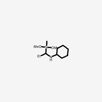 CCC(NC1CCCCC1)[Si](C)(OC)OC